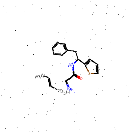 NCC(=O)NC(Cc1ccccc1)c1cccs1.O=C(O)C=CC(=O)O